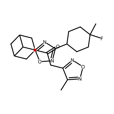 Cc1nonc1CC(=O)N1CC2CC(C1)C2c1nc(C2CCC(C)(F)CC2)no1